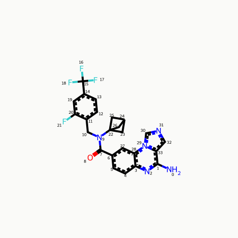 Nc1nc2ccc(C(=O)N(Cc3ccc(C(F)(F)F)cc3F)C34CC(C3)C4)cc2n2cncc12